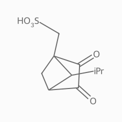 CC(C)C1C2CC1(CS(=O)(=O)O)C(=O)C2=O